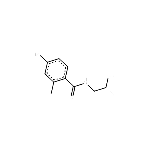 Cc1cc(Br)ccc1C(=O)NC[C@@H](C)O